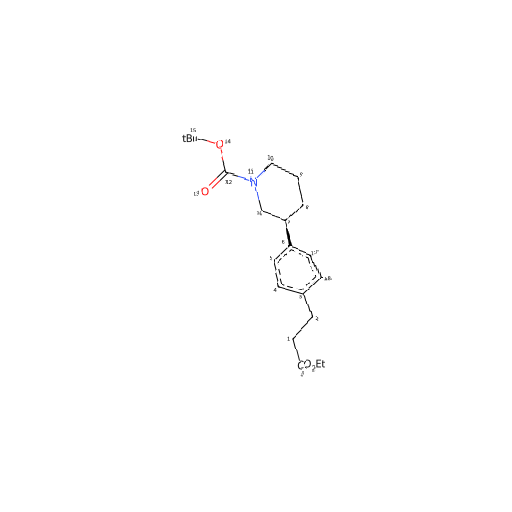 CCOC(=O)CCc1ccc([C@@H]2CCCN(C(=O)OC(C)(C)C)C2)cc1